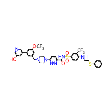 O=C(NS(=O)(=O)c1ccc(NCCSc2ccccc2)c(C(F)(F)F)c1)c1ccc(N2CCN(Cc3cc(OC(F)(F)F)cc(-c4cncc(O)c4)c3)CC2)nn1